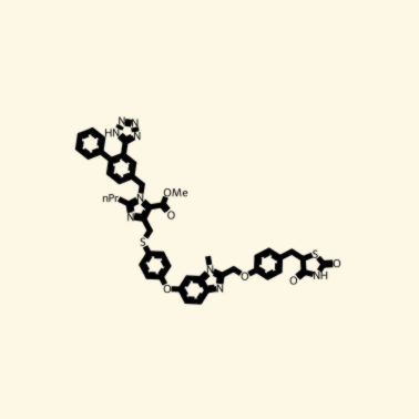 CCCc1nc(CSc2ccc(Oc3ccc4nc(COc5ccc(CC6SC(=O)NC6=O)cc5)n(C)c4c3)cc2)c(C(=O)OC)n1Cc1ccc(-c2ccccc2)c(-c2nnn[nH]2)c1